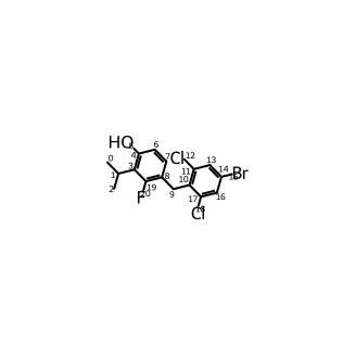 CC(C)c1c(O)ccc(Cc2c(Cl)cc(Br)cc2Cl)c1F